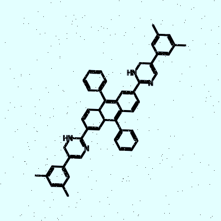 Cc1cc(C)cc(C2=CN=C(C3=CC4C(c5ccccc5)=c5ccc(C6=NC=C(c7cc(C)cc(C)c7)CN6)cc5=C(c5ccccc5)C4C=C3)NC2)c1